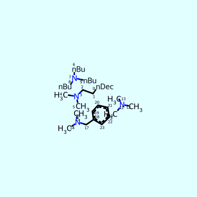 CCCCCCCCCCCCN(C)C.CCCCN(CCCC)CCCC.CN(C)C.CN(C)Cc1ccccc1